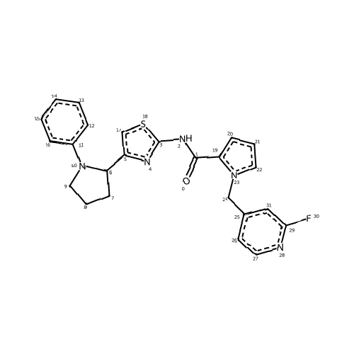 O=C(Nc1nc(C2CCCN2c2ccccc2)cs1)c1cccn1Cc1ccnc(F)c1